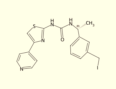 C[C@@H](NC(=O)Nc1nc(-c2ccncc2)cs1)c1cccc(CI)c1